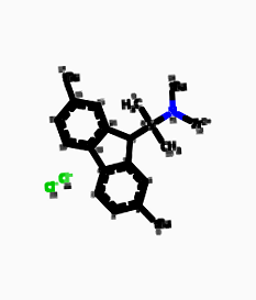 CC(C)(C)c1ccc2c(c1)C([Si](C)(C)[N]([Zr+2])C(C)(C)C)c1cc(C(C)(C)C)ccc1-2.[Cl-].[Cl-]